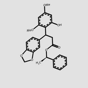 COc1cc(O)c(C(CC(=O)O[C@H](C)c2ccccc2)c2ccc3c(c2)OCO3)c(OC)c1